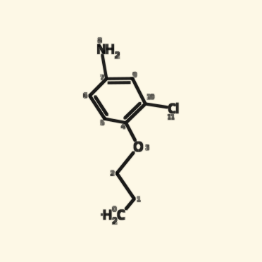 [CH2]CCOc1ccc(N)cc1Cl